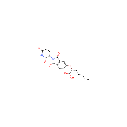 CCCCCC(Oc1ccc2c(c1)C(=O)N(C1CCC(=O)NC1=O)C2=O)C(=O)O